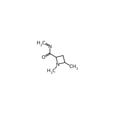 C=NC(=O)C1CC(C)N1C